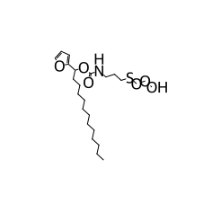 CCCCCCCCCCCCC(OC(=O)NCCCSOOO)c1ccco1